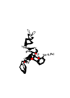 CC(=O)Nc1cccc(-c2nc(N3C4CCC3CN(C3CC(F)(F)C3)C4)sc2-c2ccnc(NC3CC4(C3)CS(=O)(=O)C4)n2)c1F